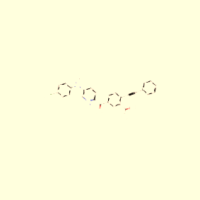 COC(=O)c1cc(C(=O)c2ccc(N(C)c3ccc(Cl)cc3)cn2)ccc1C#Cc1ccccc1